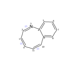 C1=C\C=N/c2ccccc2\C=C/1